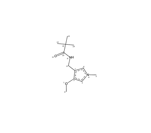 COc1cn(C)cc1CNC(=O)C(C)(C)C